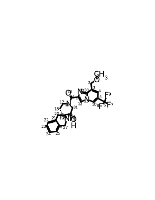 COCc1cc(C(F)(F)F)cn2cc(C(=O)N3CC[C@]4(Cc5ccccc5CN4)[C@H](O)C3)nc12